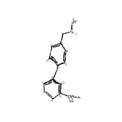 CC(C)SCc1ccc(-c2cccc(C(C)(C)C)c2)cc1